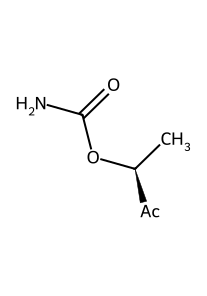 CC(=O)[C@H](C)OC(N)=O